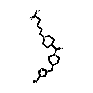 CC(C)C(=O)CCCCN1CCC(C(=O)N2CCC(Cn3cc(C(C)C)cn3)CC2)CC1